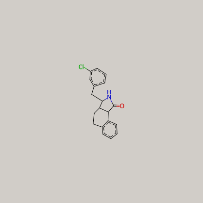 O=C1NC(Cc2cccc(Cl)c2)C2CCc3ccccc3C12